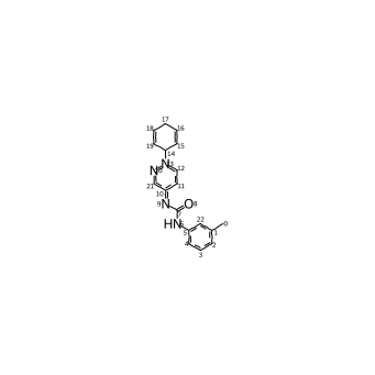 Cc1cccc(NC(=O)N=c2ccn(C3C=CCC=C3)nc2)c1